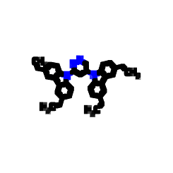 C=Cc1ccc2c(c1)c1cc(C=C)ccc1n2-c1cnnc(-n2c3ccc(C=C)cc3c3cc(C=C)ccc32)c1